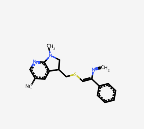 C=N/C(=C\SCC1CN(C)c2ncc(C#N)cc21)c1ccccc1